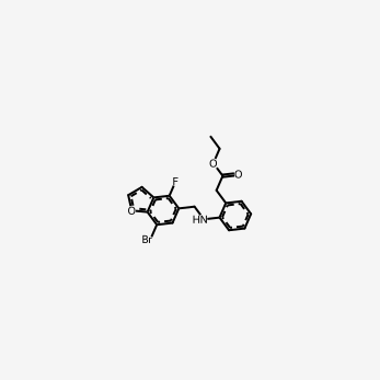 CCOC(=O)Cc1ccccc1NCc1cc(Br)c2occc2c1F